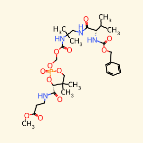 COC(=O)CCNC(=O)[C@@H]1OP(=O)(OCOC(=O)NC(C)(C)CNC(=O)[C@@H](NC(=O)OCc2ccccc2)C(C)C)OCC1(C)C